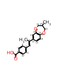 C/C(=C\c1ccc(C(=O)O)cc1)c1ccc2c(c1)OCC(C)CO2